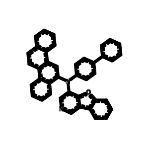 c1ccc(-c2ccc(N(c3cc4c5ccccc5ccc4c4ccccc34)c3cncc4c3oc3ccccc34)cc2)cc1